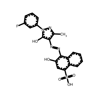 Cc1nn(-c2cccc(F)c2)c(O)c1/N=N/c1c(O)cc(S(=O)(=O)O)c2ccccc12